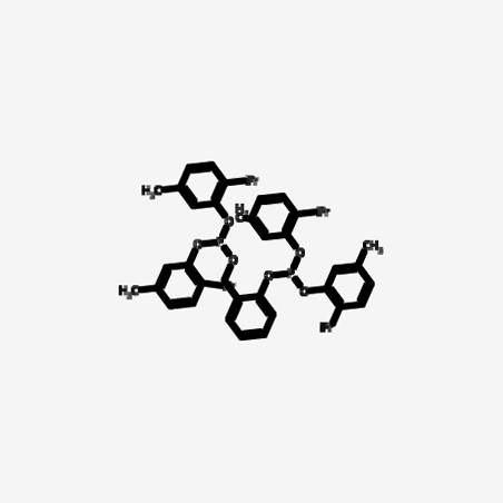 Cc1ccc(C(C)C)c(OP(OCc2ccccc2OP(Oc2cc(C)ccc2C(C)C)Oc2cc(C)ccc2C(C)C)Oc2cc(C)ccc2C(C)C)c1